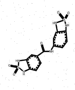 O=C(Nc1ccc2c(c1)NS(=O)(=O)N2)c1ccc2c(c1)NS(=O)(=O)N2